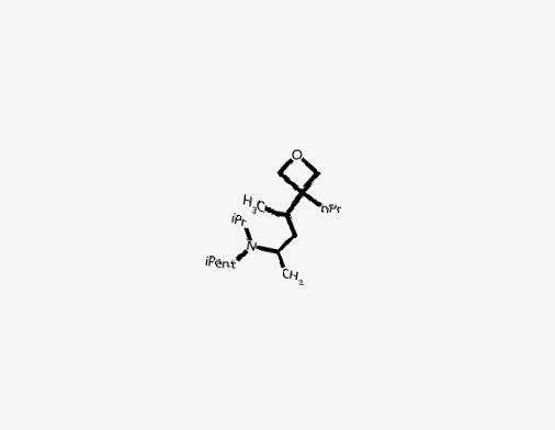 CCCC(C)N(C(C)C)C(C)CC(C)C1(CCC)COC1